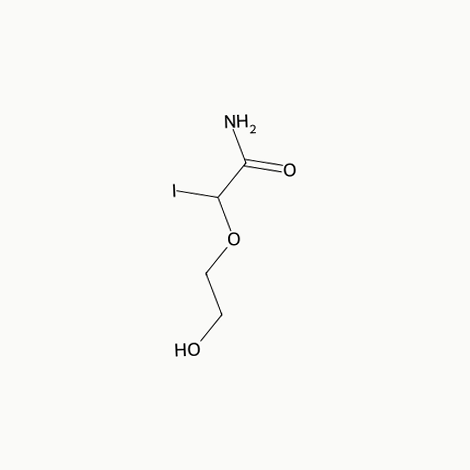 NC(=O)C(I)OCCO